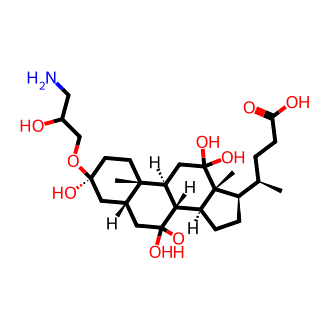 C[C@H](CCC(=O)O)[C@H]1CC[C@H]2[C@H]3[C@H](CC(O)(O)[C@]12C)[C@@]1(C)CC[C@](O)(OCC(O)CN)C[C@H]1CC3(O)O